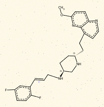 COc1ccc2nccc(CC[C@H]3CC[C@H](NC/C=C/c4cc(F)ccc4F)CN3)c2n1